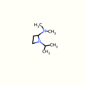 CC(C)N1CCC1N(C)C